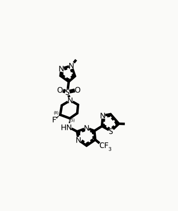 Cc1cnc(-c2nc(N[C@H]3CCN(S(=O)(=O)c4cnn(C)c4)C[C@H]3F)ncc2C(F)(F)F)s1